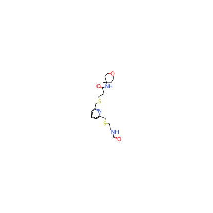 CC1(NC(=O)CCSCc2cccc(CSCCNC=O)n2)CCOCC1